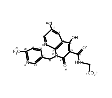 O=C(O)CNC(=O)c1c(O)c2cc(Cl)cnc2n(Cc2ccc(C(F)(F)F)nc2)c1=O